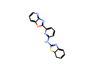 C1=CCC2SC(Nc3cccc(-c4nc5ncccc5o4)n3)=NC2=C1